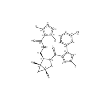 Cc1nc(C(=O)N2C[C@@H]3C[C@@H]3[C@H]2CNC(=O)c2c(C)noc2C)c(-c2cccc(Cl)c2)s1